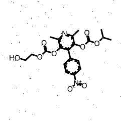 Cc1nc(C)c(OC(=O)OC(C)C)c(-c2ccc([N+](=O)[O-])cc2)c1OC(=O)OCCO